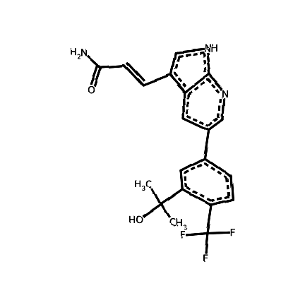 CC(C)(O)c1cc(-c2cnc3[nH]cc(C=CC(N)=O)c3c2)ccc1C(F)(F)F